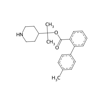 Cc1ccc(-c2ccccc2C(=O)OC(C)(C)C2CCNCC2)cc1